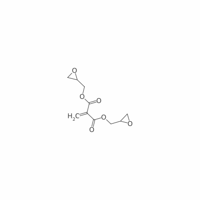 C=C(C(=O)OCC1CO1)C(=O)OCC1CO1